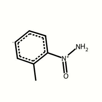 Cc1c[c]ccc1[N+](N)=O